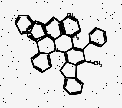 Cc1cc2c(c(N(c3ccccc3-c3ccccc3)c3c4c(c(C)c(-c5ccccc5)c3-c3ccccc3)-c3ccccc3C4)c1C)Cc1ccccc1-2